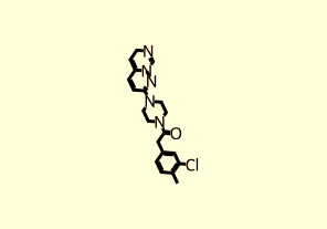 Cc1ccc(CC(=O)N2CCN(C3=NN4C=NCC=C4C=C3)CC2)cc1Cl